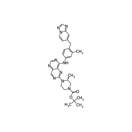 Cc1cc(Nc2ncnc3cnc(N4CCN(C(=O)OC(C)(C)C)C[C@@H]4C)nc23)ccc1Cc1ccn2ncnc2c1